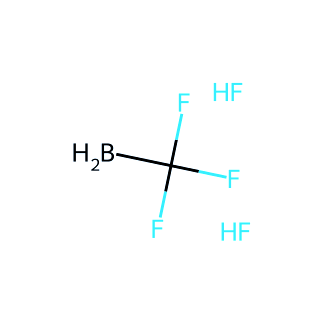 BC(F)(F)F.F.F